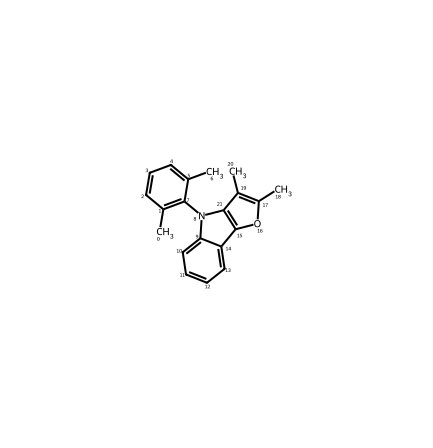 Cc1cccc(C)c1-n1c2ccccc2c2oc(C)c(C)c21